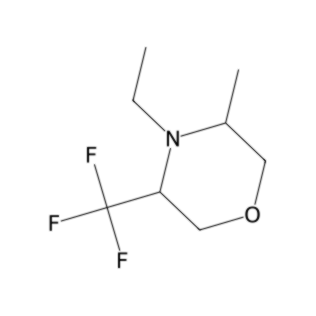 CCN1C(C)COCC1C(F)(F)F